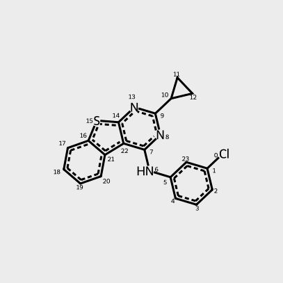 Clc1cccc(Nc2nc(C3CC3)nc3sc4ccccc4c23)c1